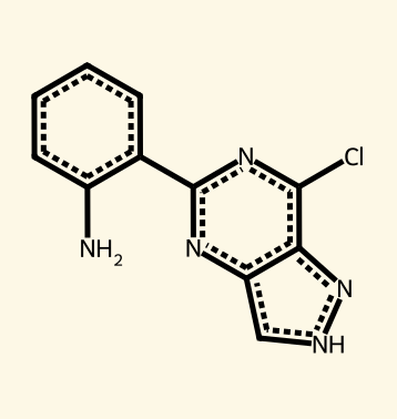 Nc1ccccc1-c1nc(Cl)c2n[nH]cc2n1